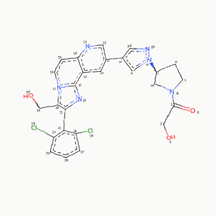 O=C(CO)N1CC[C@H](n2cc(-c3cnc4ccn5c(CO)c(-c6c(Cl)cccc6Cl)nc5c4c3)cn2)C1